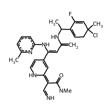 C=C(/C=C(\Nc1cccc(C)n1)C1=C/C(=C(/C=N)C(=O)NC)NC=C1)NC(C)C1=CCC(C)(Cl)C=C1F